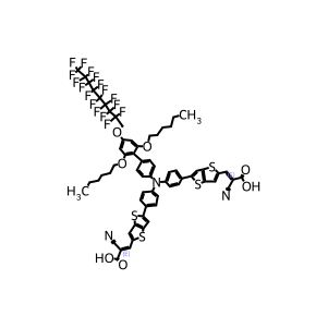 CCCCCCOc1cc(OCC(F)(F)C(F)(F)C(F)(F)C(F)(F)C(F)(F)C(F)(F)C(F)(F)C(F)(F)F)cc(OCCCCCC)c1-c1ccc(N(c2ccc(-c3cc4sc(/C=C(\C#N)C(=O)O)cc4s3)cc2)c2ccc(-c3cc4sc(/C=C(\C#N)C(=O)O)cc4s3)cc2)cc1